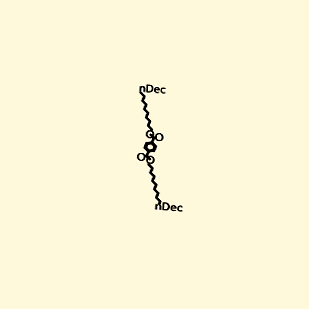 CCCCCCCCCCCCCCCCCCCCOC(=O)c1ccc(C(=O)OCCCCCCCCCCCCCCCCCCCC)cc1